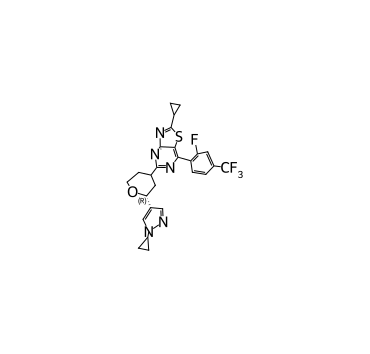 Fc1cc(C(F)(F)F)ccc1-c1nc(C2CCO[C@@H](c3cnn(C4CC4)c3)C2)nc2nc(C3CC3)sc12